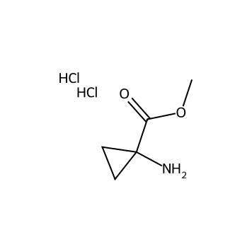 COC(=O)C1(N)CC1.Cl.Cl